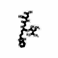 C#CC(CC(=O)O)NC(=O)CNC(=O)CCCc1nc2ncccc2[nH]1.CCN(C(C)C)C(C)C